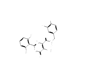 CN(Cc1ccc(C(F)(F)F)c(F)c1)C(=O)c1nc(-c2c(F)cccc2F)[nH]c(=O)c1O